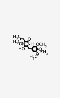 COc1cc(Cc2[nH]c(=O)c(CC(C)C)[n+]([O-])c2O)cc(OC)c1OC